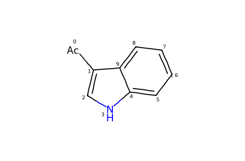 CC(=O)c1c[nH]c2c[c]ccc12